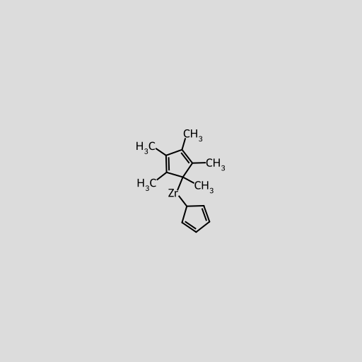 CC1=C(C)[C](C)([Zr][CH]2C=CC=C2)C(C)=C1C